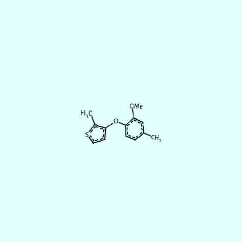 COc1cc(C)ccc1Oc1ccsc1C